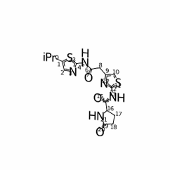 CC(C)c1cnc(NC(=O)Cc2csc(NC(=O)C3CCC(=O)N3)n2)s1